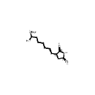 CCCCCCCCCC(CC)CCCCCCC1CC(=O)OC1=O